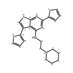 c1csc(-c2nc(NCCN3CCCCC3)c3c(-c4cccs4)csc3n2)c1